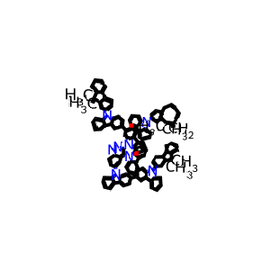 C=C1/C=C\C=C/Cc2ccc(-n3c4ccccc4c4cc(-c5ccc6c7ccccc7n(-c7c(-n8c9ccccc9c9ccc(-c%10ccc%11c(c%10)c%10ccccc%10n%11-c%10ccc%11c(c%10)C(C)(C)c%10ccccc%10-%11)cc98)nnc8ccc(-n9c%10ccccc%10c%10ccc(-c%11ccc%12c(c%11)c%11ccccc%11n%12-c%11ccc%12c(c%11)C(C)(C)c%11ccccc%11-%12)cc%109)cc78)c6c5)ccc43)cc2C1(C)C